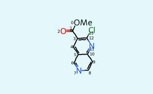 COC(=O)c1cc2cnccc2nc1Cl